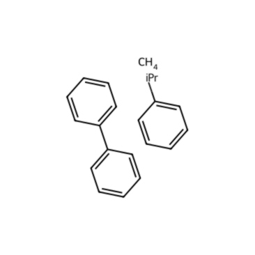 C.CC(C)c1ccccc1.c1ccc(-c2ccccc2)cc1